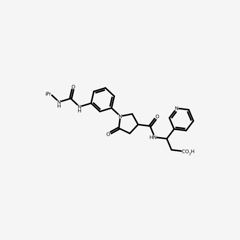 CC(C)NC(=O)Nc1cccc(N2CC(C(=O)NC(CC(=O)O)c3cccnc3)CC2=O)c1